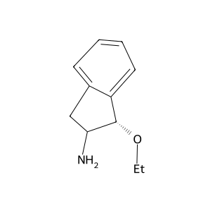 CCO[C@H]1c2ccccc2CC1N